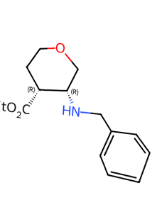 CCOC(=O)[C@@H]1CCOC[C@@H]1NCc1ccccc1